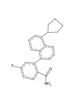 NC(=O)c1ccc(F)cc1-c1cccc2c(C3CCCC3)cccc12